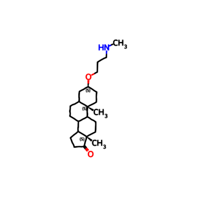 CNCCCO[C@H]1CC[C@@]2(C)C(CCC3C2CC[C@]2(C)C(=O)CCC32)C1